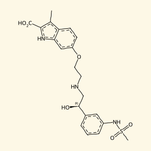 Cc1c(C(=O)O)[nH]c2cc(OCCNC[C@H](O)c3cccc(NS(C)(=O)=O)c3)ccc12